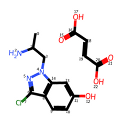 CC(N)Cn1nc(Cl)c2ccc(O)cc21.O=C(O)/C=C/C(=O)O